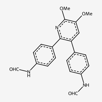 COc1cc(-c2ccc(NC=O)cc2)c(-c2ccc(NC=O)cc2)nc1OC